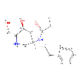 CCC(=O)N[C@@]1(CCCc2ccccc2)CN[C@H](CO)[C@@H](O)C1